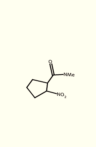 CNC(=O)C1CCCC1[N+](=O)[O-]